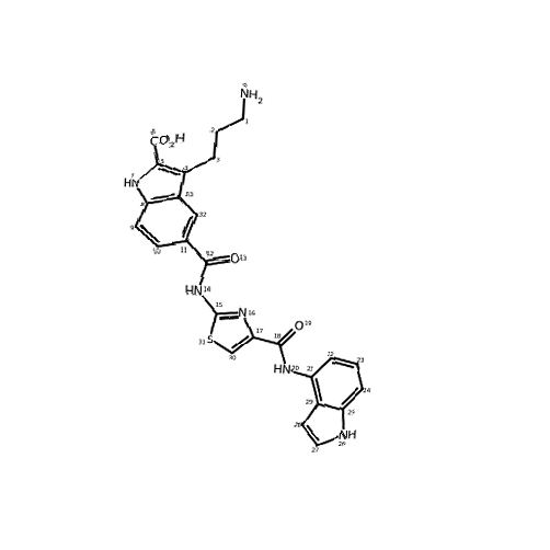 NCCCc1c(C(=O)O)[nH]c2ccc(C(=O)Nc3nc(C(=O)Nc4cccc5[nH]ccc45)cs3)cc12